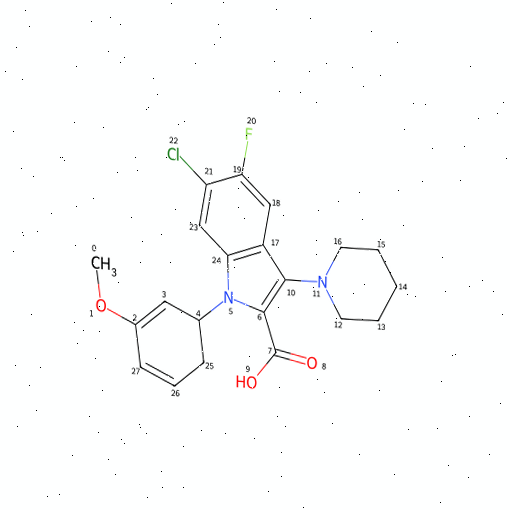 COC1=CC(n2c(C(=O)O)c(N3CCCCC3)c3cc(F)c(Cl)cc32)CC=C1